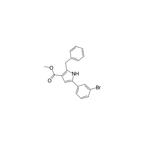 COC(=O)c1cc(-c2cccc(Br)c2)[nH]c1Cc1ccccc1